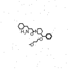 COCCCO[C@@H](c1ccccc1)[C@@H]1CCCN(C(=O)C[C@H](N)CC2CCCCC2)C1